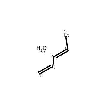 C=CC=CCC.O